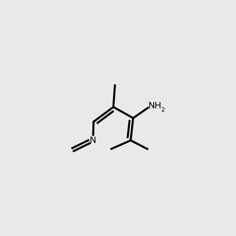 C=N/C=C(/C)C(N)=C(C)C